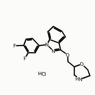 Cl.Fc1ccc(-n2nc(OCC3CNCCO3)c3ccccc32)cc1F